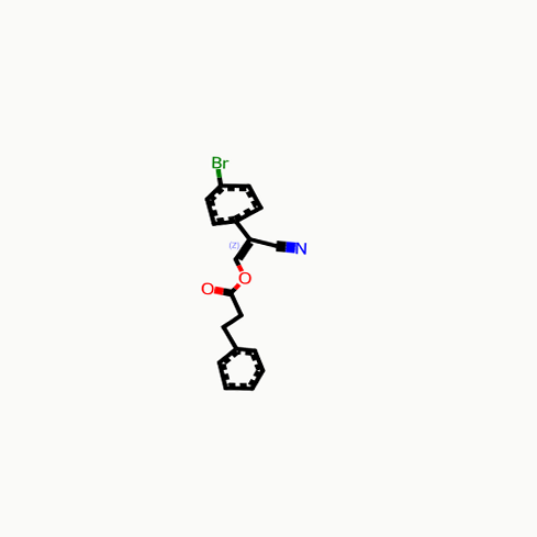 N#C/C(=C\OC(=O)CCc1ccccc1)c1ccc(Br)cc1